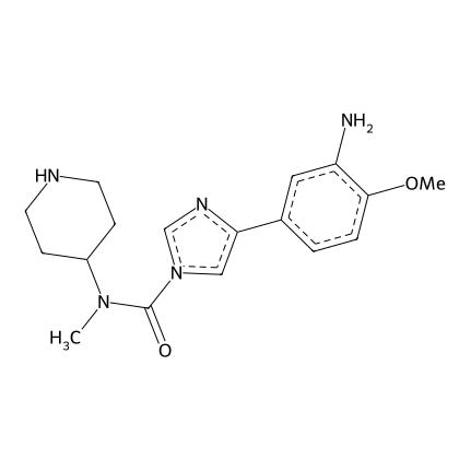 COc1ccc(-c2cn(C(=O)N(C)C3CCNCC3)cn2)cc1N